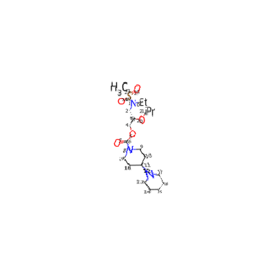 CCN(C[C@@H](COC(=O)N1CCC(N2CCCCC2)CC1)OC(C)C)S(C)(=O)=O